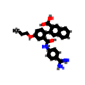 CCCOc1ccc(-c2cc3ccccc3cc2C(=O)O)c(C(=O)Nc2ccc(C(=N)N)cc2)c1